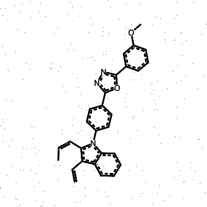 C=Cc1c(/C=C\C)n(-c2ccc(-c3nnc(-c4cccc(OC)c4)o3)cc2)c2ccccc12